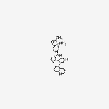 C[C@@H]1OCC2(CCN(c3nc4[nH]cc(-c5cccc6ncccc56)c4c4nccn34)CC2)[C@@H]1N